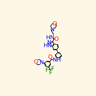 O=C(Nc1cccc(-c2ccc3c(C(=O)NCCN4CCOCC4)n[nH]c3c2)c1)c1cc(N2CCOCC2)cc(C(F)(F)F)c1